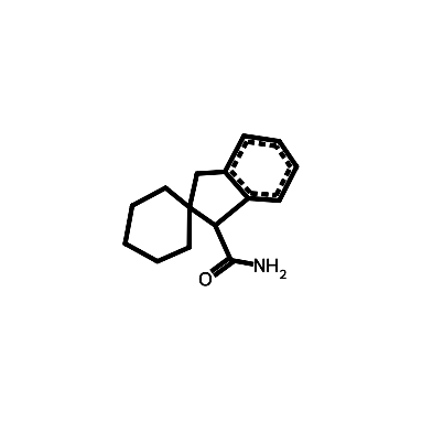 NC(=O)C1c2ccccc2CC12CCCCC2